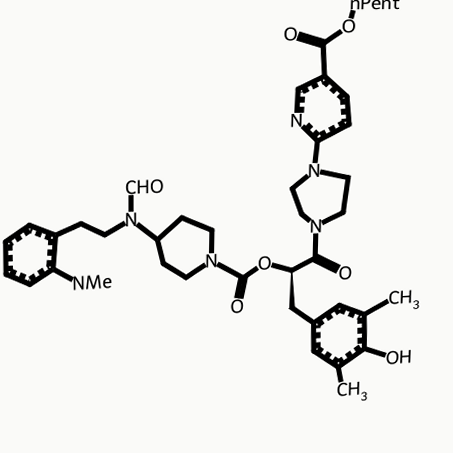 CCCCCOC(=O)c1ccc(N2CCN(C(=O)[C@@H](Cc3cc(C)c(O)c(C)c3)OC(=O)N3CCC(N(C=O)CCc4ccccc4NC)CC3)CC2)nc1